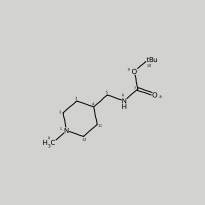 CN1CCC(CNC(=O)OC(C)(C)C)CC1